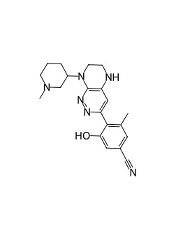 Cc1cc(C#N)cc(O)c1-c1cc2c(nn1)N(C1CCCN(C)C1)CCN2